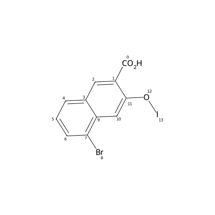 O=C(O)c1cc2cccc(Br)c2cc1OI